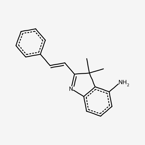 CC1(C)C(C=Cc2ccccc2)=Nc2cccc(N)c21